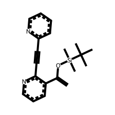 C=C(O[Si](C)(C)C(C)(C)C)c1cccnc1C#Cc1ccccn1